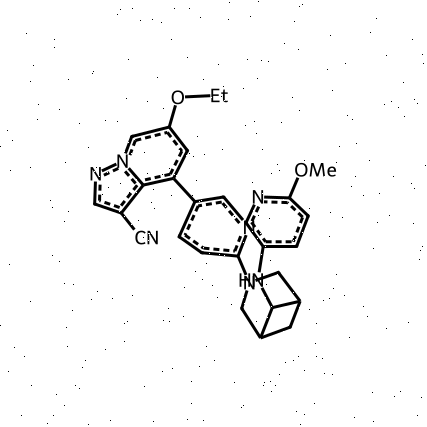 CCOc1cc(-c2ccc(N3CC4CC(C3)C4Nc3ccc(OC)nc3)nc2)c2c(C#N)cnn2c1